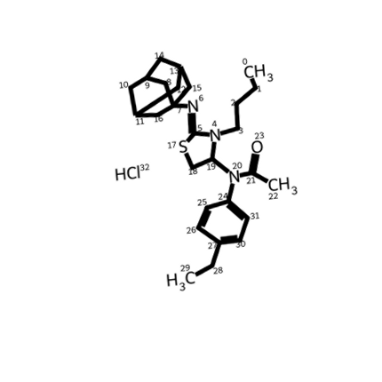 CCCCN1C(=NC23CC4CC(CC(C4)C2)C3)SCC1N(C(C)=O)c1ccc(CC)cc1.Cl